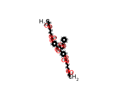 C=CC(=O)OCCCCOC(=O)Oc1ccc(C(=O)[C@@H]2CO[C@H](c3ccccc3)O[C@H]2C(=O)c2ccc(OC(=O)OCCCCOC(=O)C=C)cc2)cc1